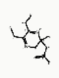 C=C(C)CC1(C)CN=C(CC)C(CC)=N1